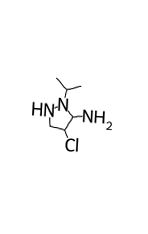 CC(C)N1NCC(Cl)C1N